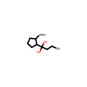 CCCCCC1CCCC1C(O)(O)CCC#N